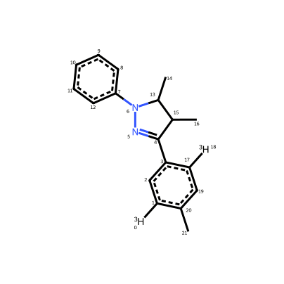 [3H]c1cc(C2=NN(c3ccccc3)C(C)C2C)c([3H])cc1C